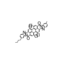 CCCCc1ccc2nc3c4cc(Cl)c5c6c(Cl)cc7c(=O)n8c9cc(C)ccc9nc8c8cc(Cl)c(c9c(Cl)cc(c(=O)n3c2c1)c4c95)c6c78